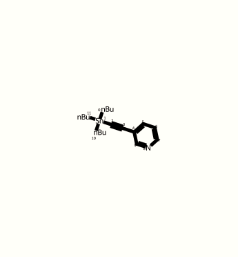 CCC[CH2][Sn]([C]#Cc1cccnc1)([CH2]CCC)[CH2]CCC